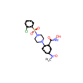 C[N+](=O)c1ccc(N2CCN(S(=O)(=O)c3ccccc3Cl)CC2)c(C(=O)NO)c1